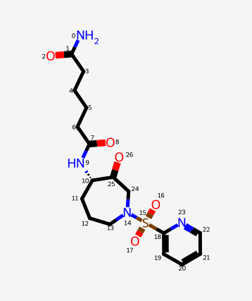 NC(=O)CCC[CH]C(=O)N[C@H]1CCCN(S(=O)(=O)c2ccccn2)CC1=O